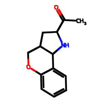 CC(=O)C1CC2COc3ccccc3C2N1